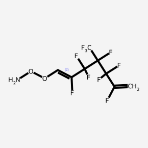 C=C(F)C(F)(F)C(F)(C(F)(F)F)C(F)(F)/C(F)=C/OON